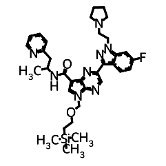 CC(Cc1ccccn1)NC(=O)c1cn(COCC[Si](C)(C)C)c2ncc(-c3nn(CCN4CCCC4)c4cc(F)ccc34)nc12